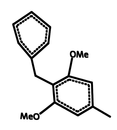 COc1cc(C)cc(OC)c1Cc1ccccc1